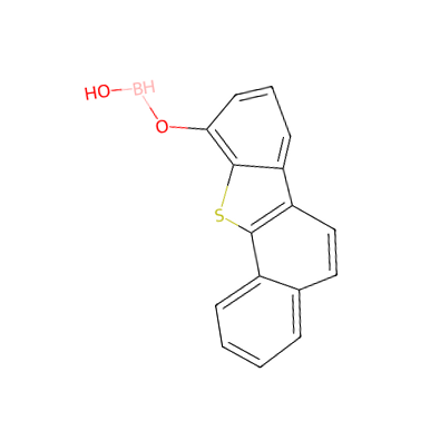 OBOc1cccc2c1sc1c3ccccc3ccc21